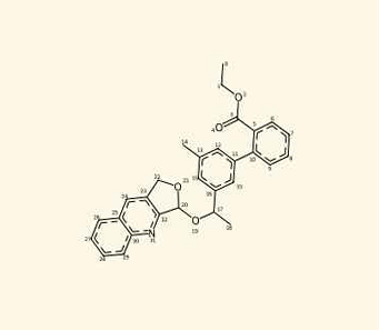 CCOC(=O)c1ccccc1-c1cc(C)cc(C(C)OC2OCc3cc4ccccc4nc32)c1